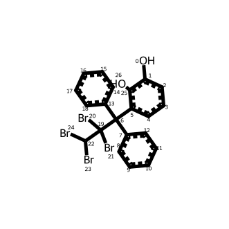 Oc1cccc(C(c2ccccc2)(c2ccccc2)C(Br)(Br)C(Br)Br)c1O